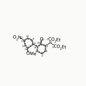 CCOC(=O)C(C(=O)OCC)c1cccn(-c2ccc([N+](=O)[O-])cc2OC)c1=O